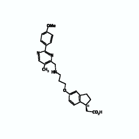 COc1ccc(-c2ncc(C)c(CNCCCOc3ccc4c(c3)CC[C@H]4CC(=O)O)n2)cc1